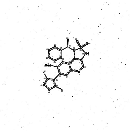 COc1cc2c3c(cnc2cc1-c1c(C)noc1C)NS(=O)(=O)N3[C@H](C)c1ccccn1